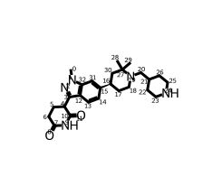 Cn1nc(C2CCC(=O)NC2=O)c2ccc([C@@H]3CCN(CC4CCNCC4)C(C)(C)C3)cc21